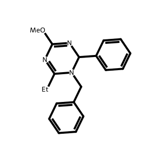 CCC1=NC(OC)=NC(c2ccccc2)N1Cc1ccccc1